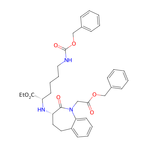 CCOC(=O)[C@H](CCCCNC(=O)OCc1ccccc1)N[C@H]1CCc2ccccc2N(CC(=O)OCc2ccccc2)C1=O